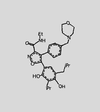 CCNC(=O)c1noc(-c2cc(CC(C)C)c(O)c(C(C)C)c2O)c1-c1ccc(CN2CCOCC2)cc1